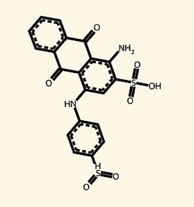 Nc1c(S(=O)(=O)O)cc(Nc2ccc([SH](=O)=O)cc2)c2c1C(=O)c1ccccc1C2=O